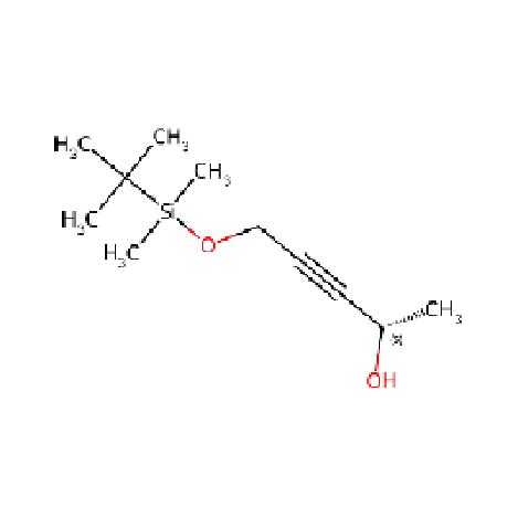 C[C@H](O)C#CCO[Si](C)(C)C(C)(C)C